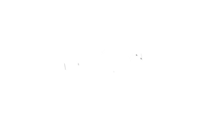 Cc1cc(C)c(-c2c(C)cccc2O)c(C#N)c1